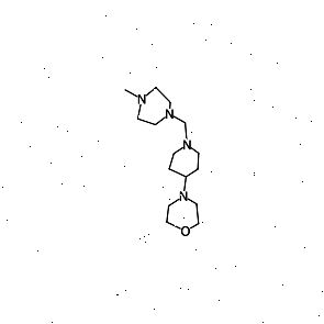 CN1CCN(CN2CCC(N3CCOCC3)CC2)CC1